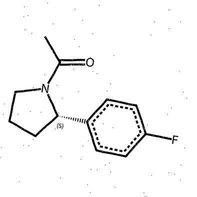 CC(=O)N1CCC[C@H]1c1ccc(F)cc1